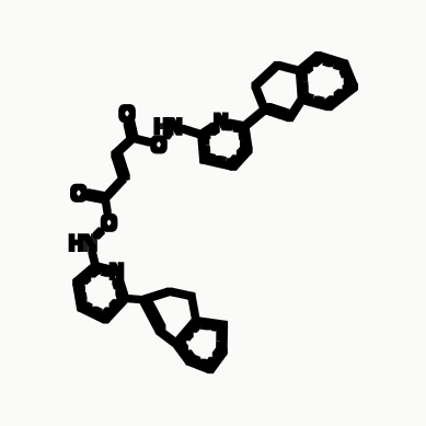 O=C(/C=C/C(=O)ONc1cccc(C2=Cc3ccccc3CC2)n1)ONc1cccc(C2=Cc3ccccc3CC2)n1